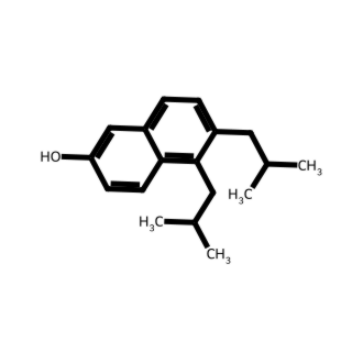 CC(C)Cc1ccc2cc(O)ccc2c1CC(C)C